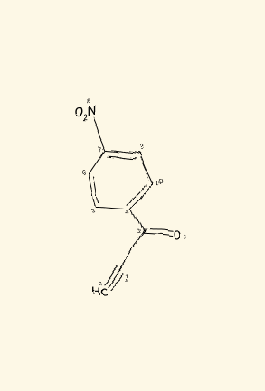 C#CC(=O)c1ccc([N+](=O)[O-])cc1